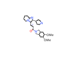 COc1cc2c(cc1OC)CN(C(=O)/C=C/c1c(-c3ccncc3)nc3ccccn13)C2